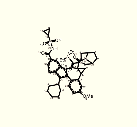 CCN(CC)C(=O)N1CC2CCC(C1)N2C(=O)C12CC1c1cc(OC)ccc1-c1c(C3CCCCC3)c3ccc(C(=O)NS(=O)(=O)C4CC4)cc3n1C2